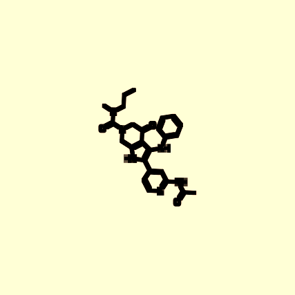 CCCN(C)C(=O)N1CC(=O)c2c([nH]c(-c3ccnc(NC(C)=O)c3)c2Nc2ccccc2)C1